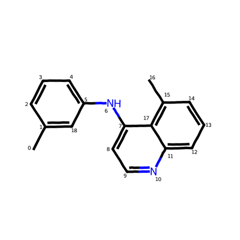 Cc1cccc(Nc2ccnc3cccc(C)c23)c1